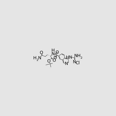 CC(C)(C)OC(=O)[C@H](CCC(N)=O)NS(=O)(=O)c1ccc2c(NC(N)=NCl)cncc2c1